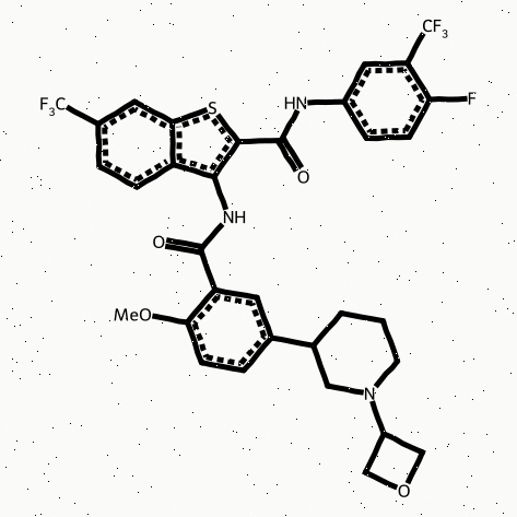 COc1ccc(C2CCCN(C3COC3)C2)cc1C(=O)Nc1c(C(=O)Nc2ccc(F)c(C(F)(F)F)c2)sc2cc(C(F)(F)F)ccc12